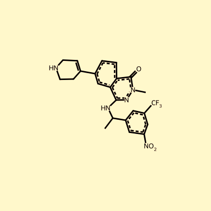 CC(Nc1nn(C)c(=O)c2ccc(C3=CCNCC3)cc12)c1cc([N+](=O)[O-])cc(C(F)(F)F)c1